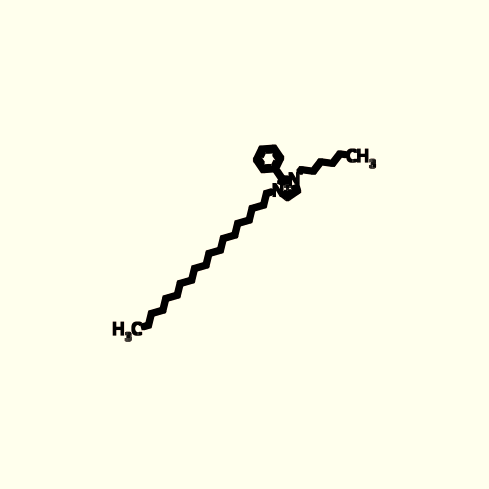 CCCCCCCCCCCCCCCCCCC[n+]1ccn(CCCCCC)c1-c1ccccc1